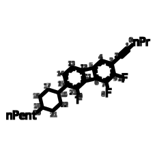 CCCC#Cc1cc2c(c(F)c1F)-c1c-2ccc(C2CCC(CCCCC)CC2)c1F